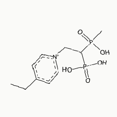 CCc1cc[n+](CC(P(C)(=O)O)P(=O)(O)O)cc1